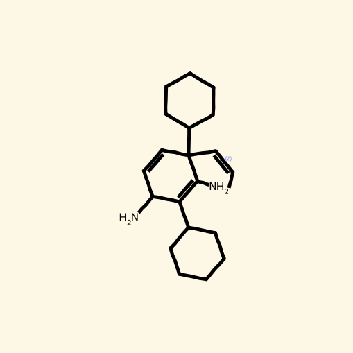 C/C=C\C1(C2CCCCC2)C=CC(N)C(C2CCCCC2)=C1N